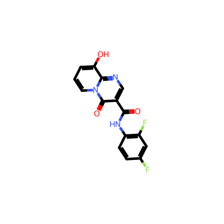 O=C(Nc1ccc(F)cc1F)c1cnc2c(O)cccn2c1=O